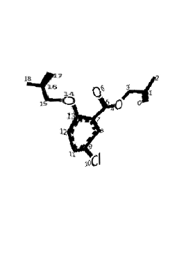 C=C(C)COC(=O)c1cc(Cl)ccc1OCC(=C)C